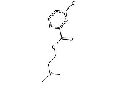 CN(C)CCOC(=O)c1cccc(Cl)c1